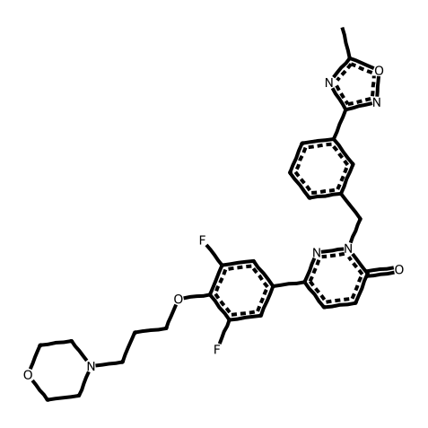 Cc1nc(-c2cccc(Cn3nc(-c4cc(F)c(OCCCN5CCOCC5)c(F)c4)ccc3=O)c2)no1